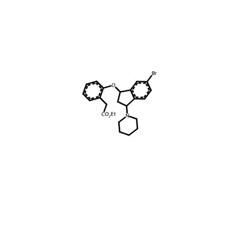 CCOC(=O)Cc1ccccc1OC1CC(N2CCCCC2)c2ccc(Br)cc21